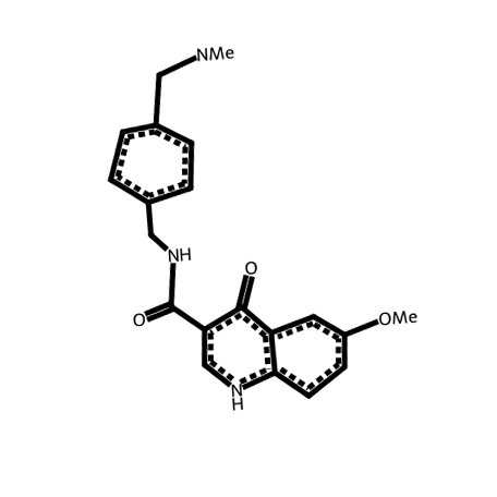 CNCc1ccc(CNC(=O)c2c[nH]c3ccc(OC)cc3c2=O)cc1